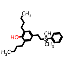 CCCCc1cc(CC[Si](C)(C)c2ccccc2)cc(CCCC)c1O